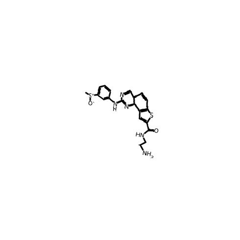 C[S+]([O-])c1cccc(NC2=NC3c4cc(C(=O)NCCN)sc4C=CC3C=N2)c1